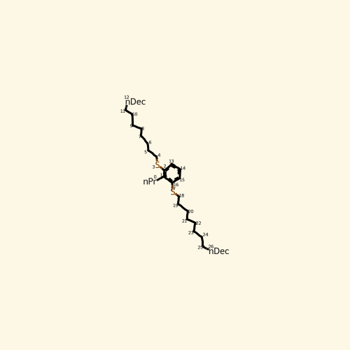 [CH2]CCc1c(SCCCCCCCCCCCCCCCCCC)cccc1SCCCCCCCCCCCCCCCCCC